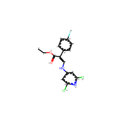 CCOC(=O)/C(=C\Nc1cc(Cl)nc(Cl)c1)c1ccc(F)cc1